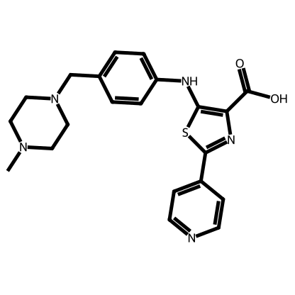 CN1CCN(Cc2ccc(Nc3sc(-c4ccncc4)nc3C(=O)O)cc2)CC1